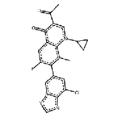 CC(=O)c1cn(C2CC2)c2c(C)c(-c3cc(Cl)c4ncnn4c3)c(F)cc2c1=O